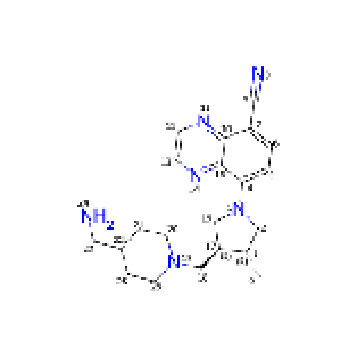 C[C@H]1CN(c2ccc(C#N)c3nccnc23)C[C@@H]1CN1CCC(CN)CC1